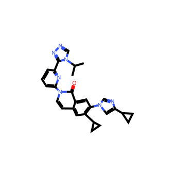 CC(C)n1cnnc1-c1cccc(-n2ccc3cc(C4CC4)c(-n4cnc(C5CC5)c4)cc3c2=O)n1